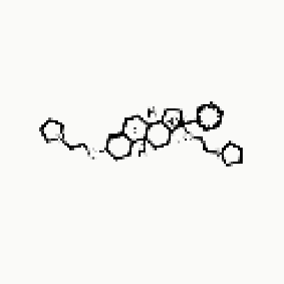 C[C@]12CC[C@H]3[C@@H](CCC4=C[C@@H](OCCN5CCCC5)CC[C@@]43C)[C@@]1(O)CC[C@]2(OCCN1CCCC1)c1ccccc1